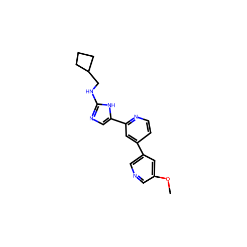 COc1cncc(-c2ccnc(-c3cnc(NCC4CCC4)[nH]3)c2)c1